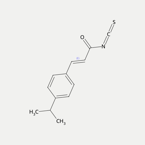 CC(C)c1ccc(/C=C/C(=O)N=C=S)cc1